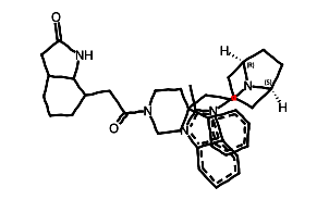 Cc1nc2ccccc2n1C1C[C@H]2CC[C@@H](C1)N2CCC1(c2ccccc2)CCN(C(=O)CC2CCCC3CC(=O)NC32)CC1